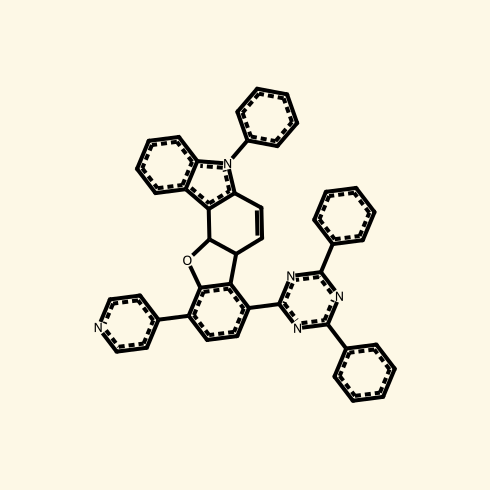 C1=CC2c3c(-c4nc(-c5ccccc5)nc(-c5ccccc5)n4)ccc(-c4ccncc4)c3OC2c2c1n(-c1ccccc1)c1ccccc21